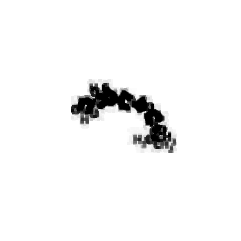 Cc1cc(C2CCN(C3CC(OC4CCN(C(=O)OC(C)(C)C)CC4)C3)CC2)cc2c1C(=O)N(C1CCC(=O)NC1=O)C2